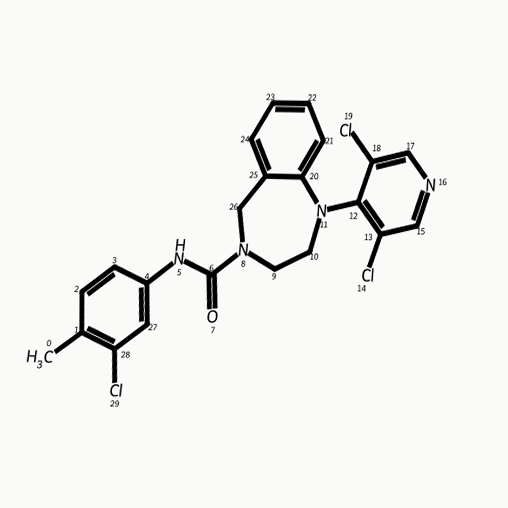 Cc1ccc(NC(=O)N2CCN(c3c(Cl)cncc3Cl)c3ccccc3C2)cc1Cl